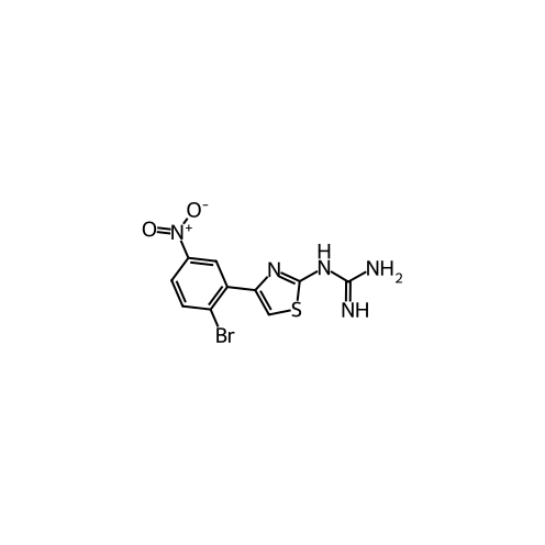 N=C(N)Nc1nc(-c2cc([N+](=O)[O-])ccc2Br)cs1